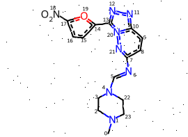 CN1CCN(C=Nc2ccc3nnc(-c4ccc([N+](=O)[O-])o4)n3n2)CC1